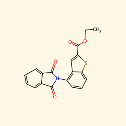 CCOC(=O)c1cc2c(N3C(=O)c4ccccc4C3=O)cccc2s1